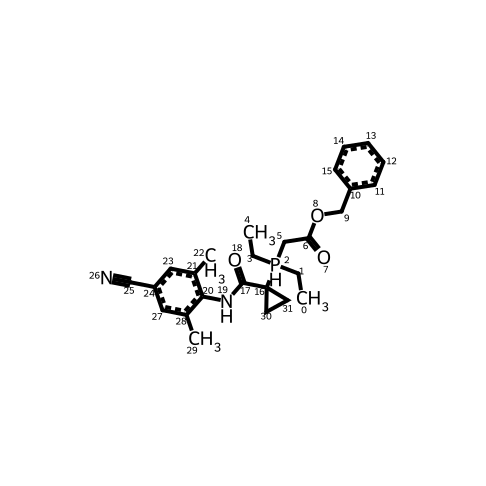 CC[PH](CC)(CC(=O)OCc1ccccc1)C1(C(=O)Nc2c(C)cc(C#N)cc2C)CC1